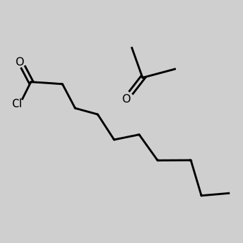 CC(C)=O.CCCCCCCCCC(=O)Cl